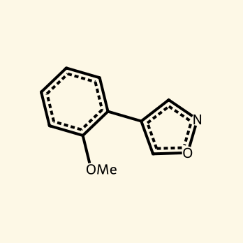 [CH2]Oc1ccccc1-c1cnoc1